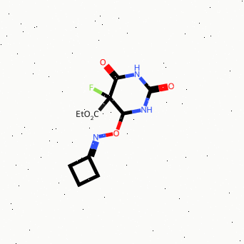 CCOC(=O)C1(F)C(=O)NC(=O)NC1ON=C1CCC1